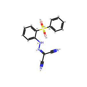 N#CC(C#N)=NNc1ccccc1S(=O)(=O)c1ccccc1